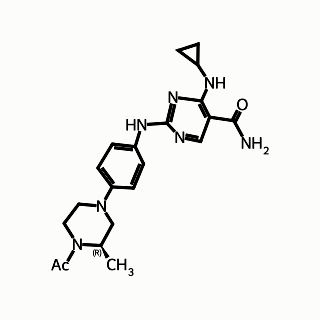 CC(=O)N1CCN(c2ccc(Nc3ncc(C(N)=O)c(NC4CC4)n3)cc2)C[C@H]1C